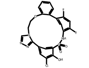 O=S1(=O)Nc2cc(c(F)cc2F)-c2ccccc2OCCn2cnnc2-c2cc(Cl)c(O)c1c2